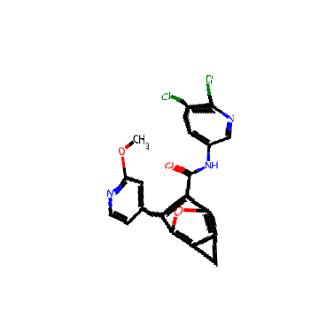 COc1cc(-c2c(C(=O)Nc3cnc(Cl)c(Cl)c3)c3oc2c2c3C2)ccn1